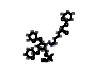 CC(C)(C)[Si](C)(C)OC[C@@H]1[C@@H](C/C=C\CCCC(=O)COC2CCCCO2)[C@@H](OC2CCCCO2)C[C@H]1OC1CCCCO1